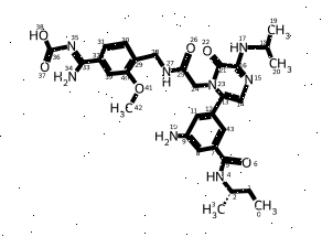 CC[C@H](C)NC(=O)c1cc(N)cc(-c2cnc(NC(C)C)c(=O)n2CC(=O)NCc2ccc(/C(N)=N/C(=O)O)cc2OC)c1